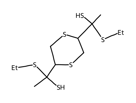 CCSC(C)(S)C1CSC(C(C)(S)SCC)CS1